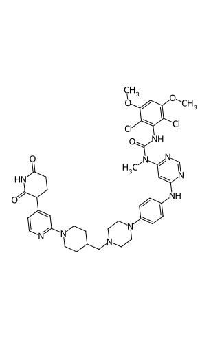 COc1cc(OC)c(Cl)c(NC(=O)N(C)c2cc(Nc3ccc(N4CCN(CC5CCN(c6cc(C7CCC(=O)NC7=O)ccn6)CC5)CC4)cc3)ncn2)c1Cl